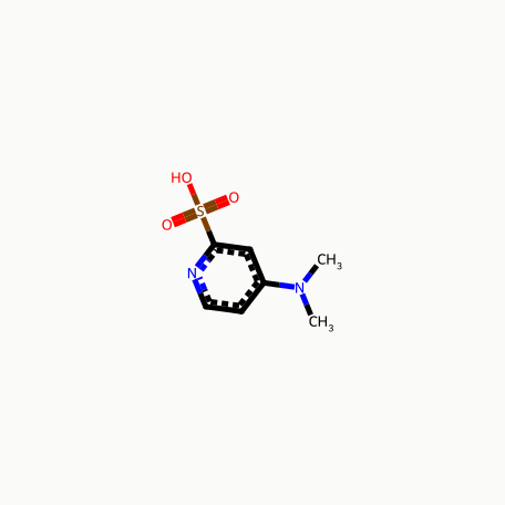 CN(C)c1ccnc(S(=O)(=O)O)c1